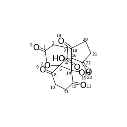 O=C1CCC(=O)C2(O1)C(=O)CCC(=O)C2(O)C1(O)C(=O)CCC1=O